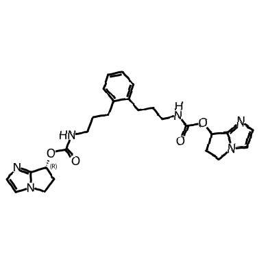 O=C(NCCCc1ccccc1CCCNC(=O)O[C@@H]1CCn2ccnc21)OC1CCn2ccnc21